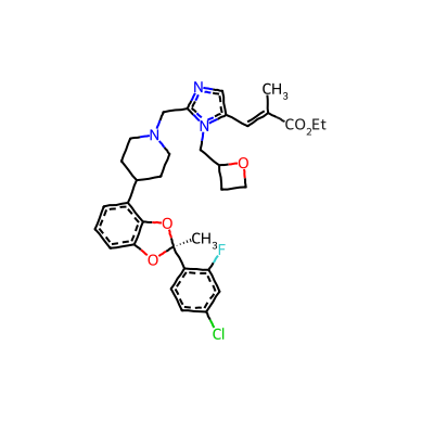 CCOC(=O)/C(C)=C/c1cnc(CN2CCC(c3cccc4c3O[C@@](C)(c3ccc(Cl)cc3F)O4)CC2)n1CC1CCO1